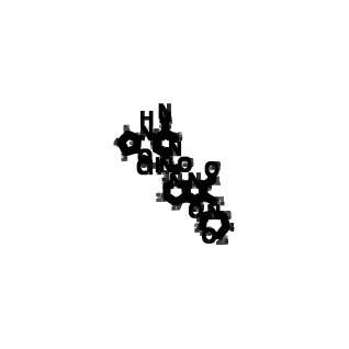 CO[C@@H]1CCC[C@H]1Nc1cc(NC(=O)N2CCCc3cc(CN4CCCOCC4=O)c(C=O)nc32)ncc1C#N